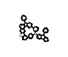 c1ccc(C2c3ccccc3-c3ccc(N(c4ccccc4)c4cccc(-c5ccc6c(c5)-c5c(ccc7cc8oc9ccccc9c8cc57)C6c5ccccc5)c4)cc32)cc1